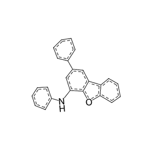 c1ccc(Nc2cc(-c3ccccc3)cc3c2oc2ccccc23)cc1